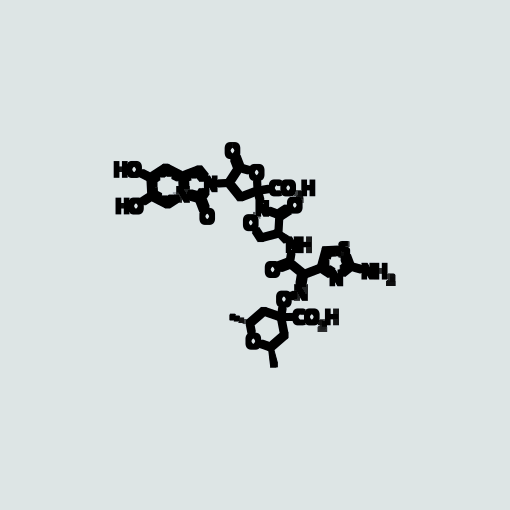 C[C@@H]1CC(O/N=C(\C(=O)N[C@H]2CON(C3(C(=O)O)CC(n4cc5cc(O)c(O)cn5c4=O)C(=O)O3)C2=O)c2csc(N)n2)(C(=O)O)C[C@@H](C)O1